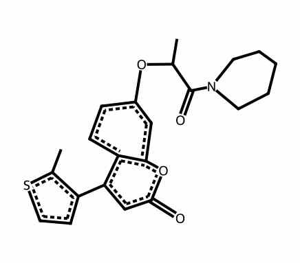 Cc1sccc1-c1cc(=O)oc2cc(OC(C)C(=O)N3CCCCC3)ccc12